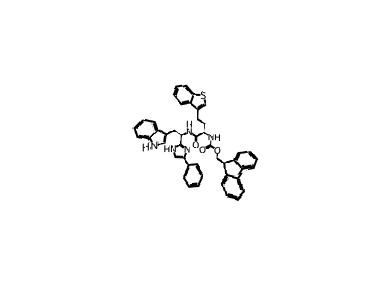 O=C(N[C@H](CCc1csc2ccccc12)C(=O)N[C@H](Cc1c[nH]c2ccccc12)c1nc(-c2ccccc2)c[nH]1)OCC1c2ccccc2-c2ccccc21